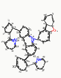 C1=CC2Oc3ccc(-n4c5ccc(-c6ccccc6-c6ccccn6)cc5c5cc(-c6ccccc6-c6ccccn6)ccc54)cc3C2C=C1